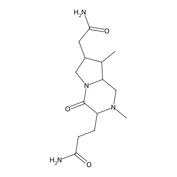 CC1C(CC(N)=O)CN2C(=O)C(CCC(N)=O)N(C)CC12